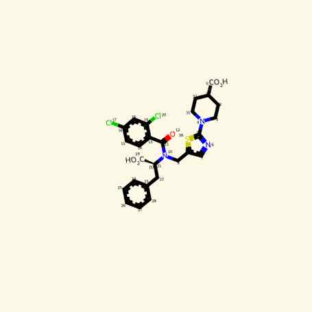 O=C(O)C1CCN(c2ncc(CN(C(=O)c3ccc(Cl)cc3Cl)[C@@H](Cc3ccccc3)C(=O)O)s2)CC1